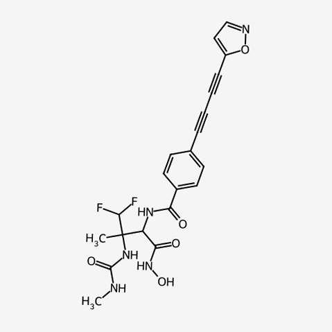 CNC(=O)NC(C)(C(F)F)C(NC(=O)c1ccc(C#CC#Cc2ccno2)cc1)C(=O)NO